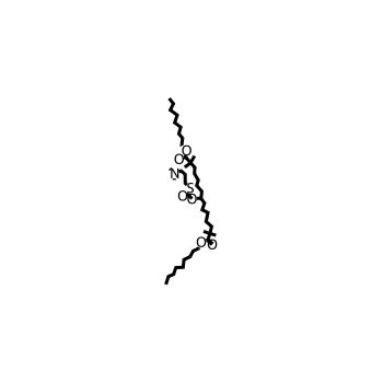 CCCCCCCCCOC(=O)C(C)(C)CCCCCC(CCCCCC(C)(C)C(=O)OCCCCCCCCC)OC(=O)SCCCN(C)C